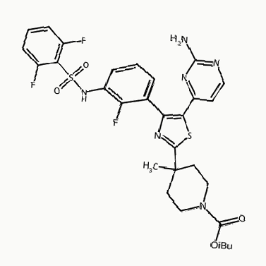 CC(C)COC(=O)N1CCC(C)(c2nc(-c3cccc(NS(=O)(=O)c4c(F)cccc4F)c3F)c(-c3ccnc(N)n3)s2)CC1